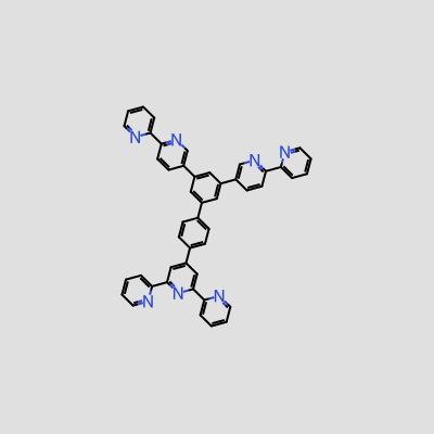 c1ccc(-c2ccc(-c3cc(-c4ccc(-c5cc(-c6ccccn6)nc(-c6ccccn6)c5)cc4)cc(-c4ccc(-c5ccccn5)nc4)c3)cn2)nc1